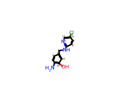 Nc1ccc(CNc2ccc(Cl)cn2)cc1O